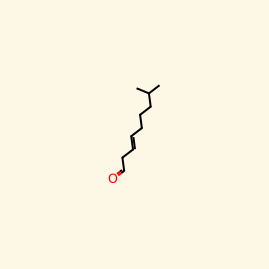 CC(C)CCCC=CCC=O